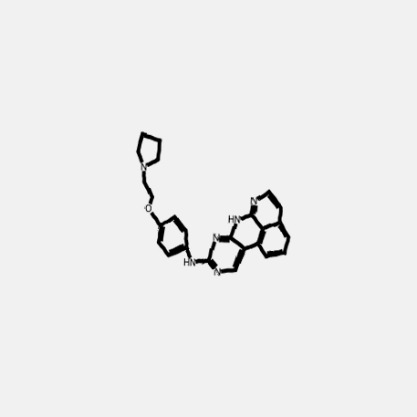 c1cc2c3c(nccc3c1)Nc1nc(Nc3ccc(OCCN4CCCC4)cc3)ncc1-2